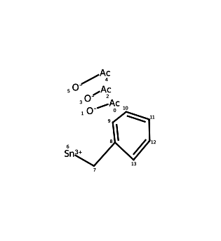 CC(=O)[O-].CC(=O)[O-].CC(=O)[O-].[Sn+3][CH2]c1ccccc1